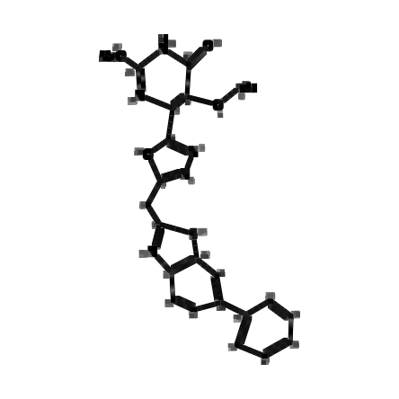 CCCCOc1c(-c2nnc(Cc3nc4ccc(-c5ccccc5)cc4s3)o2)nc(OC)[nH]c1=O